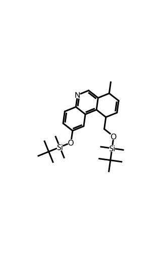 CC1C=CC(CO[Si](C)(C)C(C)(C)C)c2c1cnc1ccc(O[Si](C)(C)C(C)(C)C)cc21